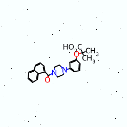 CC(C)(Oc1cccc(N2CCN(C(=O)c3cccc4ccccc34)CC2)c1)C(=O)O